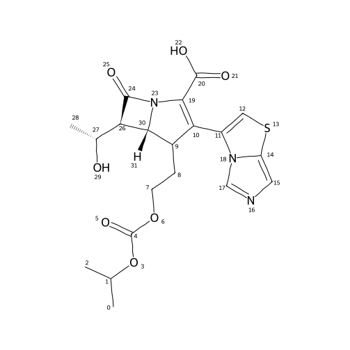 CC(C)OC(=O)OCCC1C(c2csc3cncn23)=C(C(=O)O)N2C(=O)[C@H]([C@@H](C)O)[C@@H]12